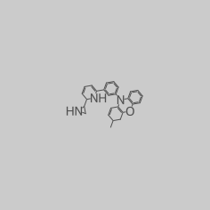 CC1C=CC2=C(C1)Oc1ccccc1N2c1cccc(C2=CC=CC(C3CN3)N2)c1